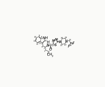 CCCC(Cc1c[nH]c2ccccc12)NC(=O)c1nnc(N2CCN(CC(F)F)CC2)s1